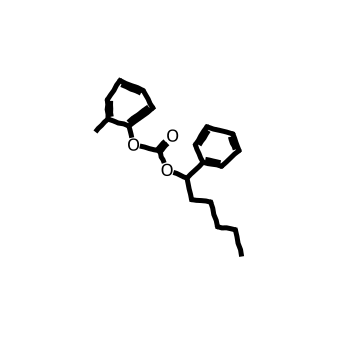 CCCCCC(OC(=O)Oc1ccccc1C)c1ccccc1